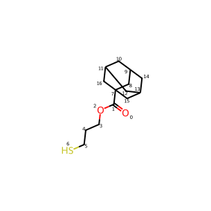 O=C(OCCCS)C12CC3CC(CC(C3)C1)C2